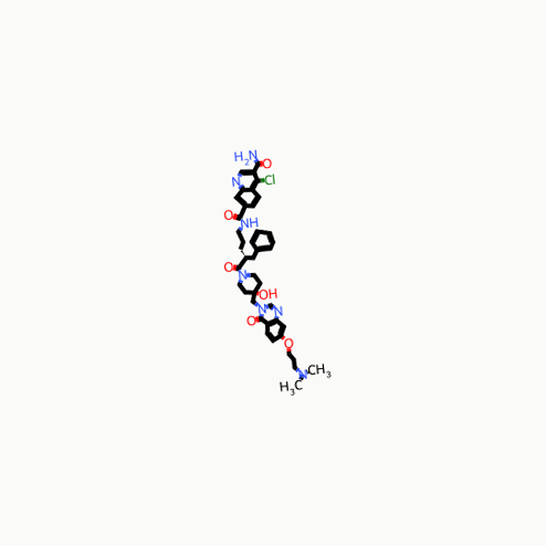 CN(C)CCCOc1ccc2c(=O)n(CC3(O)CCN(C(=O)[C@H](CCCNC(=O)c4ccc5c(Cl)c(C(N)=O)cnc5c4)Cc4ccccc4)CC3)cnc2c1